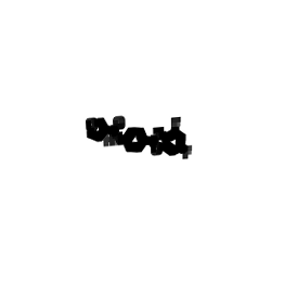 O=C(Nc1ccc(-c2nc3c(F)cc(F)cc3o2)cc1)C1CCOC1